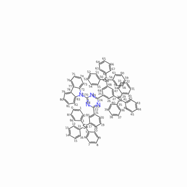 c1ccc([Si](c2ccccc2)(c2ccccc2)c2cccc(-c3nc(-c4cc([Si](c5ccccc5)(c5ccccc5)c5ccccc5)cc([Si](c5ccccc5)(c5ccccc5)c5ccccc5)c4)nc(-n4c5ccccc5c5ccccc54)n3)c2)cc1